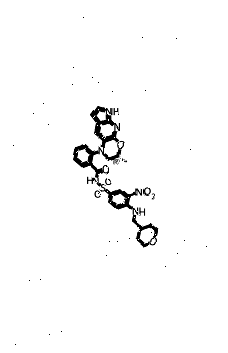 C[C@@H]1CN(c2ccccc2C(=O)NS(=O)(=O)c2ccc(NCC3CCOCC3)c([N+](=O)[O-])c2)c2cc3cc[nH]c3nc2O1